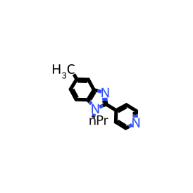 CCCn1c(-c2ccncc2)nc2cc(C)ccc21